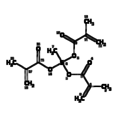 C=C(C)C(=O)O[Si](C)(OC(=O)C(=C)C)OC(=O)C(=C)C